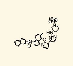 Cc1ccc2c(NC(=O)c3ccc4ccccc4c3)cccc2c1Oc1ncccc1-c1ccnc(NC2CCCN(C(=O)OC(C)(C)C)C2)n1